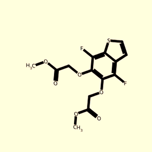 COC(=O)COc1c(OCC(=O)OC)c(F)c2sccc2c1F